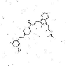 COc1cccc(CCN2CCN(C(=O)C=Cc3c(C)n(CCCN(C)C)c4ccccc34)CC2)c1